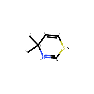 CC1(C)C=CSC=N1